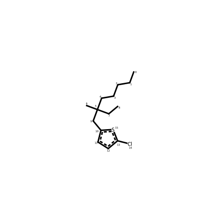 CCCCCC(C)(CC)Cc1ccc(Cl)s1